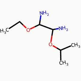 CCOC(N)C(N)OC(C)C